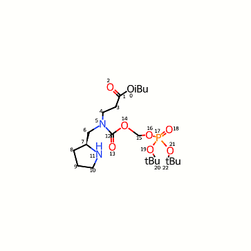 CC(C)COC(=O)CCN(C[C@@H]1CCCN1)C(=O)OCOP(=O)(OC(C)(C)C)OC(C)(C)C